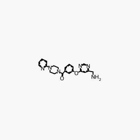 NCc1cc(Oc2cccc(C(=O)N3CCN(c4ccccn4)CC3)c2)ncn1